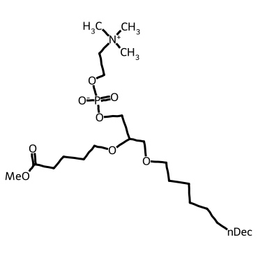 CCCCCCCCCCCCCCCCOCC(COP(=O)([O-])OCC[N+](C)(C)C)OCCCCC(=O)OC